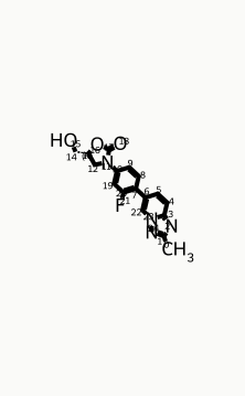 Cc1nc2ccc(-c3ccc(N4C[C@H](CO)OC4=O)cc3F)cn2n1